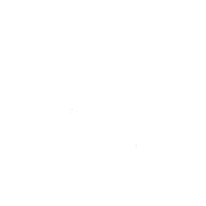 COc1cc(O)c(CC(O)CO)c2c1C(=O)c1c(cc(C)c(C(=O)O)c1O)C2=O